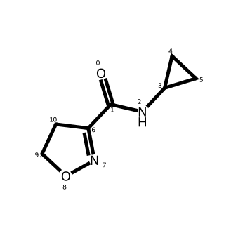 O=C(NC1CC1)C1=NO[C]C1